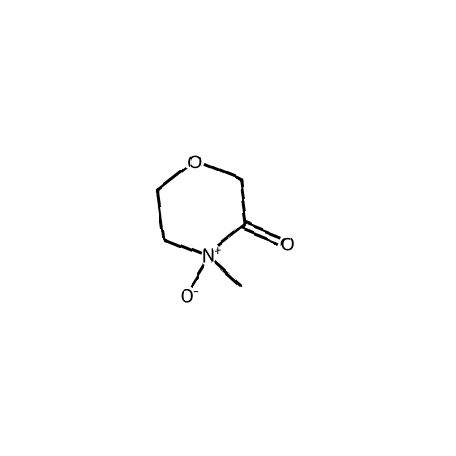 C[N+]1([O-])CCOCC1=O